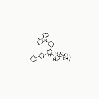 CC(C)(C)c1ccnc(-c2cc(-c3cccc(-n4c5ccccc5c5ncccc54)c3)cc(-c3ccc(-c4ccccc4)cc3)n2)c1